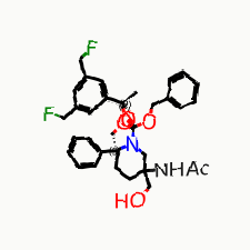 CC(=O)NC1(CO)CC[C@@](CO[C@H](C)c2cc(CF)cc(CF)c2)(c2ccccc2)N(C(=O)OCc2ccccc2)C1